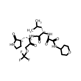 CC(C)C[C@H](NC(=O)C(=O)NC1CCOCC1)C(=O)N[C@@H](C[C@@H]1CCNC1=O)C(=O)COC(F)(F)F